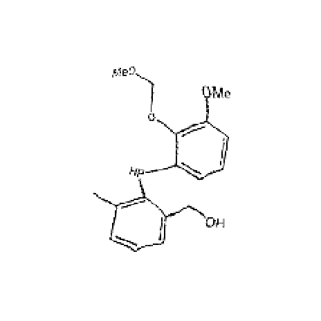 COCOc1c(OC)cccc1Pc1c(C)cccc1CO